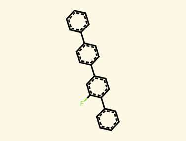 Fc1cc(-c2ccc(-c3ccccc3)cc2)ccc1-c1ccccc1